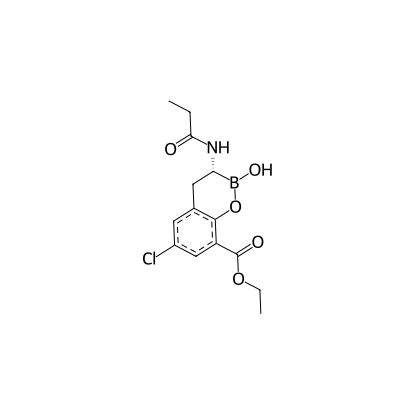 CCOC(=O)c1cc(Cl)cc2c1OB(O)[C@@H](NC(=O)CC)C2